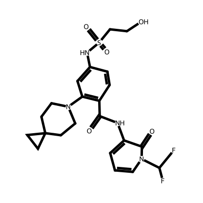 O=C(Nc1cccn(C(F)F)c1=O)c1ccc(NS(=O)(=O)CCO)cc1N1CCC2(CC1)CC2